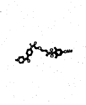 COc1cc(C)c(S(=O)(=O)N(C)CCOCC(=O)N(C)C2CCC(C(=O)N3CCN(C)CC3)CC2)c(C)c1